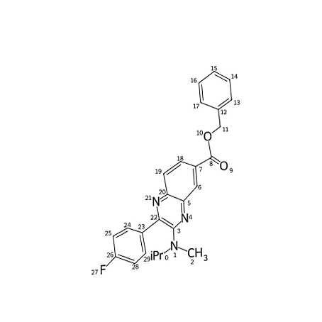 CC(C)N(C)c1nc2cc(C(=O)OCc3ccccc3)ccc2nc1-c1ccc(F)cc1